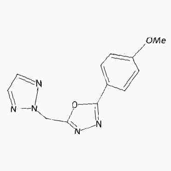 COc1ccc(-c2nnc(Cn3nccn3)o2)cc1